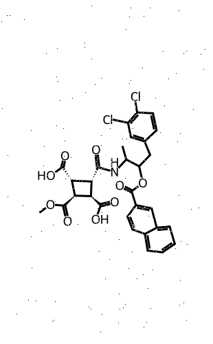 COC(=O)[C@H]1[C@H](C(=O)O)[C@H](C(=O)NC(C)C(Cc2ccc(Cl)c(Cl)c2)OC(=O)c2ccc3ccccc3c2)[C@H]1C(=O)O